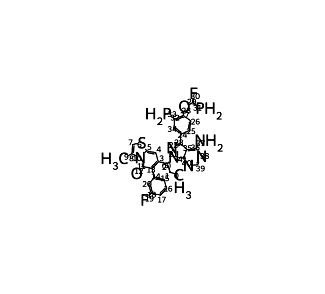 CC[C@@H](c1cc2scc(C)n2c(=O)c1-c1cccc(F)c1)n1nc(-c2ccc(OC(F)P)c(P)c2)c2c(N)ncnc21